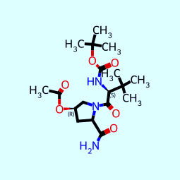 CC(=O)O[C@@H]1CC(C(N)=O)N(C(=O)[C@@H](NC(=O)OC(C)(C)C)C(C)(C)C)C1